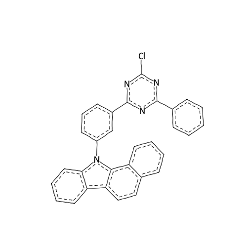 Clc1nc(-c2ccccc2)nc(-c2cccc(-n3c4ccccc4c4ccc5ccccc5c43)c2)n1